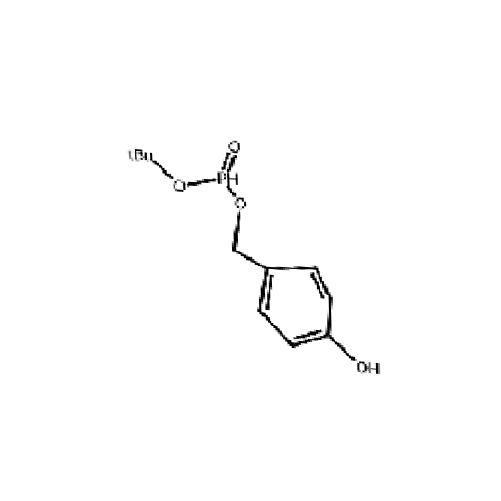 CC(C)(C)O[PH](=O)OCc1ccc(O)cc1